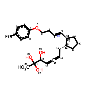 CCc1ccc(OCC/C=C/[C@H]2CCC[C@@H]2CC=C=CC(O)C(O)(O)C(=O)O)cc1